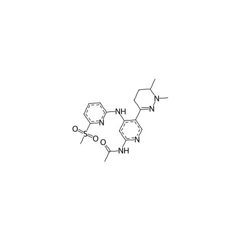 CC(=O)Nc1cc(Nc2cccc(S(C)(=O)=O)n2)c(C2=NN(C)C(C)CC2)cn1